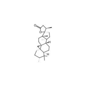 C[C@@H]1CC[C@]23C[C@]24CC[C@@]2(C)[C@@](C)(CC[C@@]25OC(=O)C[C@H]5C)[C@@H]4CC[C@H]3C1(C)C